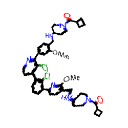 COc1cc(-c2nccc(-c3cccc(-c4ccc(CNC5CCN(C(=O)C6CCC6)CC5)c(OC)n4)c3Cl)c2Cl)ccc1CNC1CCN(C(=O)C2CCC2)CC1